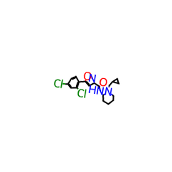 O=C(NC1CCCCN1CC1CC1)c1cc(-c2ccc(Cl)cc2Cl)on1